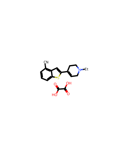 CCN1CC=C(c2cc3c(C#N)cccc3s2)CC1.O=C(O)C(=O)O